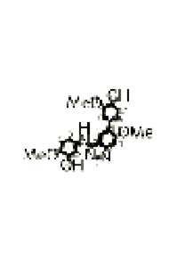 COc1ccc(Nc2ncnc3cc(OC)c(-c4ccc(O)c(OC)c4)cc23)cc1O